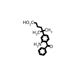 CC(C)(CCCC(=O)O)c1ccc(C(=O)c2ccccc2)c(N)c1